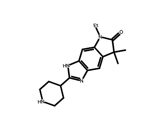 CCN1C(=O)C(C)(C)c2cc3nc(C4CCNCC4)[nH]c3cc21